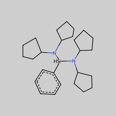 c1ccc([SiH](N(C2CCCC2)C2CCCC2)N(C2CCCC2)C2CCCC2)cc1